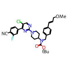 COCC=Cc1ccc(CN(C(=O)OC(C)(C)C)C2CCN(c3ncc(Cl)c(-c4ccc(C#N)c(F)c4)n3)CC2)cc1